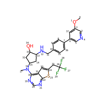 COc1cncc(-c2ccc(CNC3CC(N(C)c4ncnc5sc(CC(F)(F)F)cc45)CC3O)cc2)c1